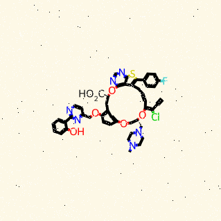 C#C/C(Cl)=C1\C=C/Cc2c(-c3ccc(F)cc3)sc3ncnc(c23)O[C@@H](C(=O)O)Cc2cc(ccc2OCc2ccnc(-c3ccccc3O)n2)OC[C@@H](CN2CCN(C)CC2)O1